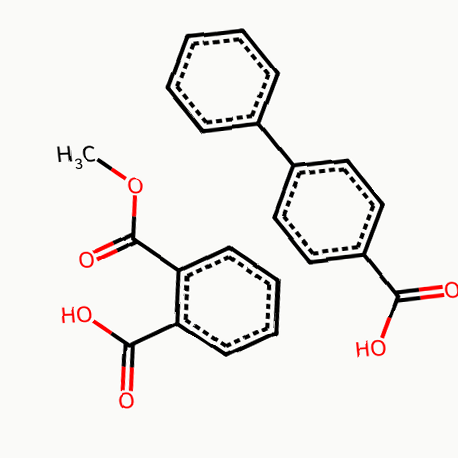 COC(=O)c1ccccc1C(=O)O.O=C(O)c1ccc(-c2ccccc2)cc1